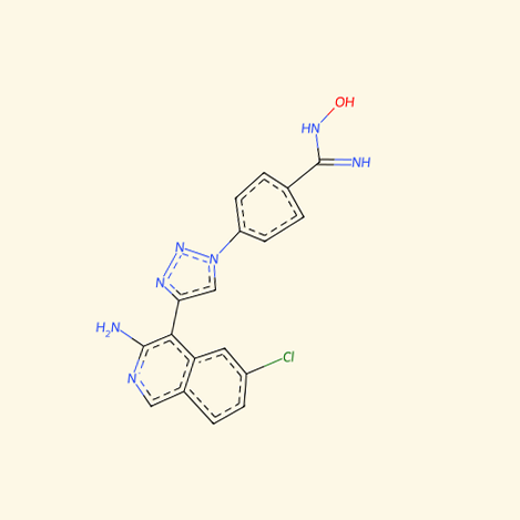 N=C(NO)c1ccc(-n2cc(-c3c(N)ncc4ccc(Cl)cc34)nn2)cc1